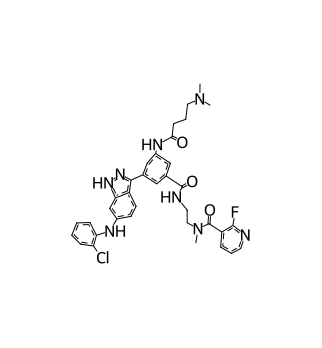 CN(C)CCCC(=O)Nc1cc(C(=O)NCCN(C)C(=O)c2cccnc2F)cc(-c2n[nH]c3cc(Nc4ccccc4Cl)ccc23)c1